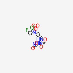 COC(=O)Oc1c(Cl)c2c(F)cccc2n1-c1ccc(CNC(=O)C2(NC(=O)c3cc(OC)no3)CC2)cc1